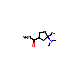 CCC1(N(C)C)CCC(C(=O)NC)C1